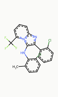 Cc1cccc(Cl)c1Nc1c(-c2ccccc2Cl)nc2cccc(C(F)(F)F)n12